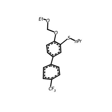 CCCSc1cc(-c2ccc(C(F)(F)F)cc2)ccc1OCOCC